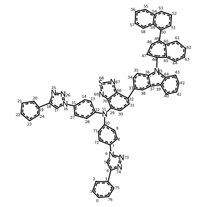 c1ccc(-c2cn(-c3ccc(N(c4ccc(-n5cc(-c6ccccc6)nn5)cc4)c4ccc(-c5ccc6c(c5)c5ccccc5n6-c5ccc(-c6cccc7ccccc67)c6ccccc56)c5nsnc45)cc3)nn2)cc1